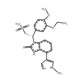 CCOc1cc([C@@H](CS(C)(=O)=O)n2c(=O)[nH]c3c(/C(C=N)=C/NC)cccc32)ccc1OC